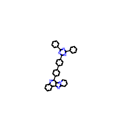 c1ccc(-c2nc(-c3ccccc3)nc(-c3ccc(-c4ccc(-c5nc6ccccc6c6nc7ccccn7c56)cc4)cc3)n2)cc1